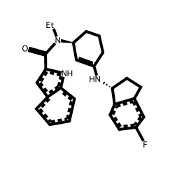 CCN(C(=O)c1cc2ccccc2[nH]1)[C@@H]1C=C(N[C@@H]2CCc3cc(F)ccc32)CCC1